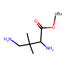 CCCCOC(=O)C(N)C(C)(C)CN